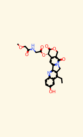 CCc1c2c(nc3ccc(O)cc13)-c1cc3c(c(=O)n1C2)COC(=O)[C@H]3OC(=O)CNC(=O)COC